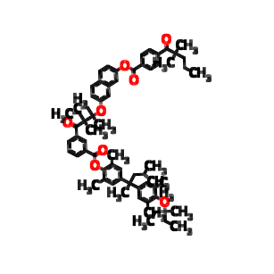 CCCC(C)(C)C(=O)c1ccc(C(=O)Oc2ccc3ccc(OC(C)(CC)C(C)(CC)C(=O)c4cccc(C(=O)Oc5c(C)cc(C(C)(CC(C)C)c6cc(C)c(OC(C)(CC)CC)c(C)c6)cc5C)c4)cc3c2)cc1